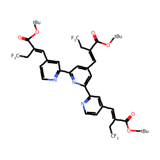 CC(C)(C)OC(=O)/C(=C/c1ccnc(-c2cc(/C=C(\CC(F)(F)F)C(=O)OC(C)(C)C)cc(-c3cc(/C=C(\CC(F)(F)F)C(=O)OC(C)(C)C)ccn3)n2)c1)CC(F)(F)F